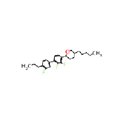 CCCCCC1CCC(c2ccc(-c3ccc(CCC)c(F)c3)c(F)c2F)OC1